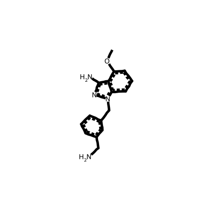 COc1cccc2c1c(N)nn2Cc1cccc(CN)c1